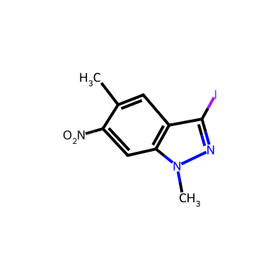 Cc1cc2c(I)nn(C)c2cc1[N+](=O)[O-]